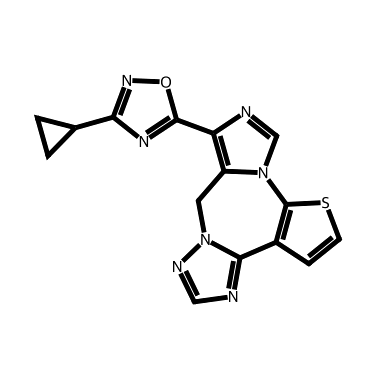 c1nc2n(n1)Cc1c(-c3nc(C4CC4)no3)ncn1-c1sccc1-2